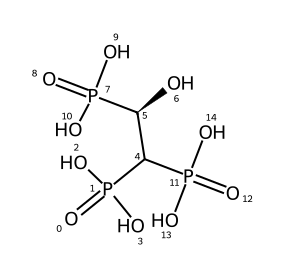 O=P(O)(O)C([C@H](O)P(=O)(O)O)P(=O)(O)O